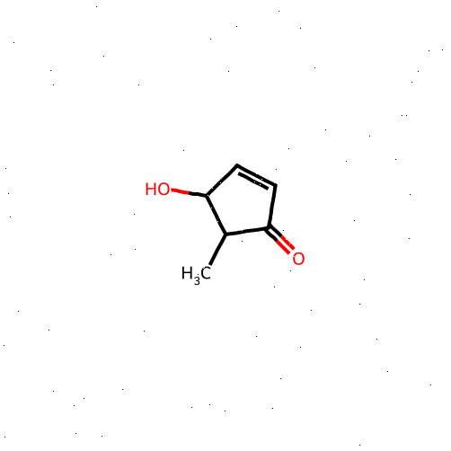 CC1C(=O)C=CC1O